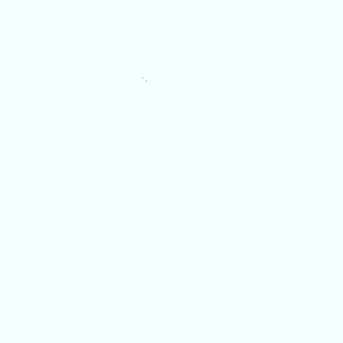 Cl.FC(F)(F)c1cc(CC2CCNCC2)cc2ccccc12